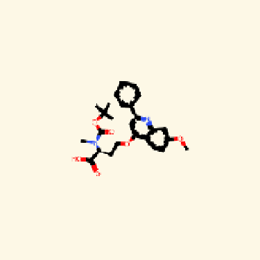 COc1ccc2c(OCC[C@@H](C(=O)O)N(C)C(=O)OC(C)(C)C)cc(-c3ccccc3)nc2c1